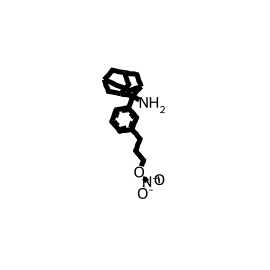 NC1(c2cccc(CCCO[N+](=O)[O-])c2)C2CC3CC(C2)CC1C3